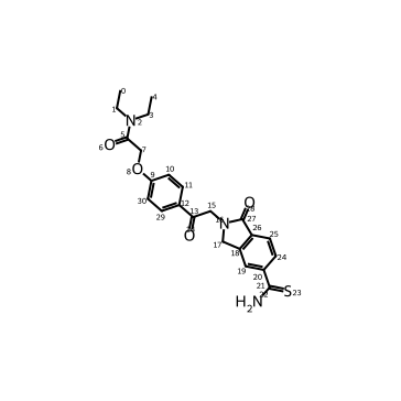 CCN(CC)C(=O)COc1ccc(C(=O)CN2Cc3cc(C(N)=S)ccc3C2=O)cc1